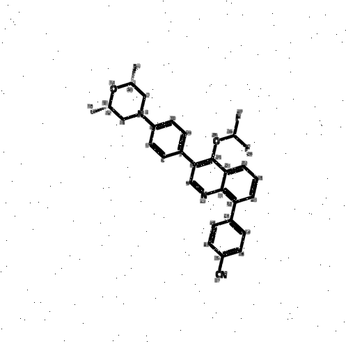 C[C@@H]1CN(c2ccc(-c3cnc4c(-c5ccc(C#N)cc5)cccc4c3OC(F)F)cc2)C[C@H](C)O1